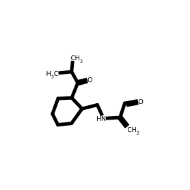 C=C(C=O)NCC1CCCCC1C(=O)C(C)C